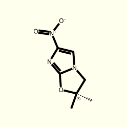 [CH2][C@@]1(C)Cn2cc([N+](=O)[O-])nc2O1